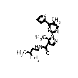 Cc1cnc(-n2ncc(C(=O)NCCC(C)C)c2C)nc1-c1cccs1